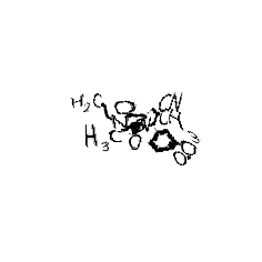 C=CCN1C(=O)[C@@]23C[C@](C)(C#N)[C@H](c4ccc5c(c4)OCO5)N2C(=O)[C@]1(C)SS3